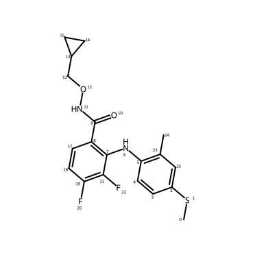 CSc1ccc(Nc2c(C(=O)NOCC3CC3)ccc(F)c2F)c(C)c1